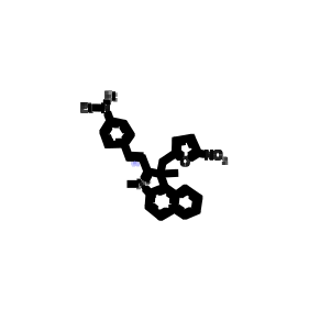 CCN(CC)c1ccc(/C=C/C2=[N+](C)c3ccc4ccccc4c3C2(C)Cc2ccc([N+](=O)[O-])o2)cc1